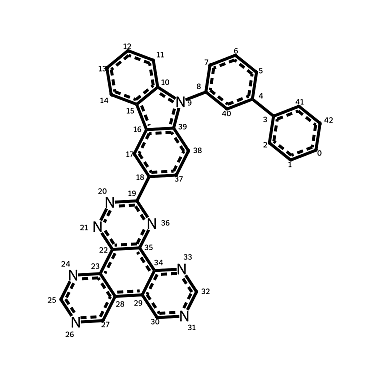 c1ccc(-c2cccc(-n3c4ccccc4c4cc(-c5nnc6c7ncncc7c7cncnc7c6n5)ccc43)c2)cc1